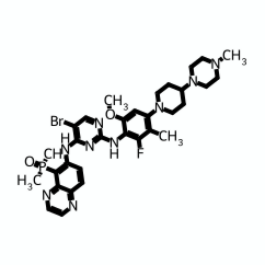 COc1cc(N2CCC(N3CCN(C)CC3)CC2)c(C)c(F)c1Nc1ncc(Br)c(Nc2ccc3nccnc3c2P(C)(C)=O)n1